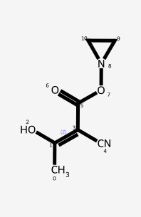 C/C(O)=C(\C#N)C(=O)ON1CC1